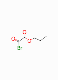 CCCOC(=O)C(=O)Br